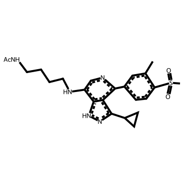 CC(=O)NCCCCNc1cnc(-c2ccc(S(C)(=O)=O)c(C)c2)c2c(C3CC3)n[nH]c12